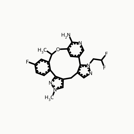 CC1Oc2cc(cnc2N)-c2c(cnn2CC(F)F)Cc2cn(C)nc2-c2ccc(F)cc21